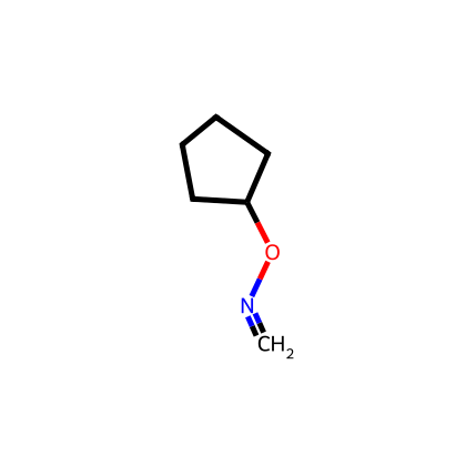 C=NOC1CCCC1